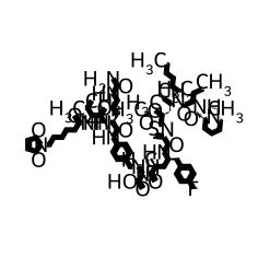 CCCCCCN(C(=O)[C@@H](NC(=O)[C@H]1CCCCN1C)[C@H](C)CC)[C@H](C[C@@H](OC(C)=O)c1nc(C(=O)N[C@@H](Cc2ccc(F)cc2)C[C@H](C)C(=O)N(NCc2ccc(NC(=O)[C@H](CCCNC(N)=O)NC(=O)[C@@H](NC(=O)CCCCCN3C(=O)C=CC3=O)C(C)C)cc2)C(=O)O)cs1)C(C)C